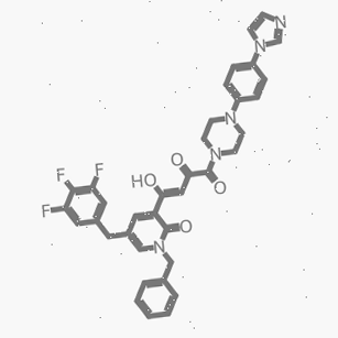 O=C(C=C(O)c1cc(Cc2cc(F)c(F)c(F)c2)cn(Cc2ccccc2)c1=O)C(=O)N1CCN(c2ccc(-n3ccnc3)cc2)CC1